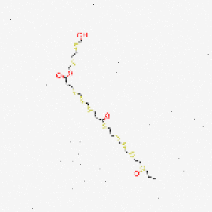 CCC[S+]([O-])CCSCSCSCCSC(=O)CCSCSCSCCC(=O)OCSCCSCO